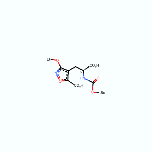 CCOc1noc(C(=O)O)c1C[C@H](NC(=O)OC(C)(C)C)C(=O)O